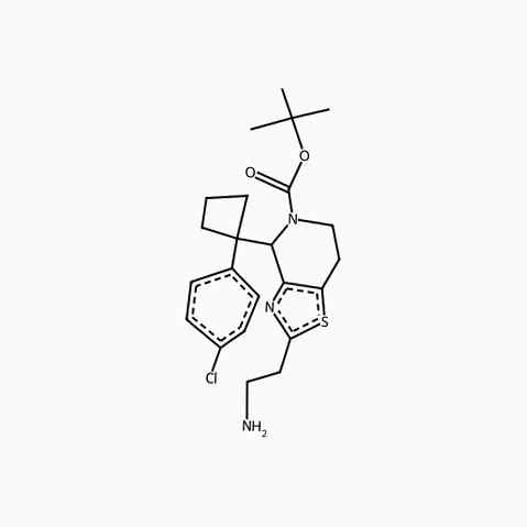 CC(C)(C)OC(=O)N1CCc2sc(CCN)nc2C1C1(c2ccc(Cl)cc2)CCC1